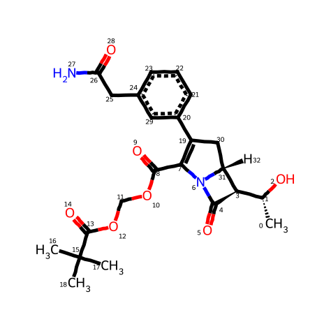 C[C@@H](O)[C@H]1C(=O)N2C(C(=O)OCOC(=O)C(C)(C)C)=C(c3cccc(CC(N)=O)c3)C[C@H]12